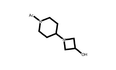 CC(=O)N1CCC(N2CC(O)C2)CC1